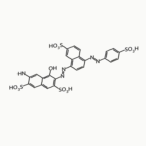 [NH]c1cc2c(O)c(/N=N/c3ccc(/N=N/c4ccc(S(=O)(=O)O)cc4)c4ccc(S(=O)(=O)O)cc34)c(S(=O)(=O)O)cc2cc1S(=O)(=O)O